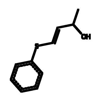 CC(O)C=CSc1ccccc1